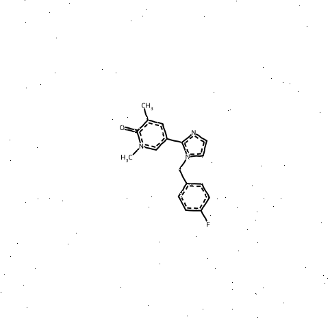 Cc1cc(-c2nccn2Cc2ccc(F)cc2)cn(C)c1=O